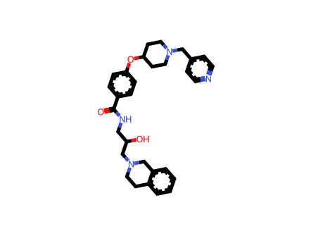 O=C(NCC(O)CN1CCc2ccccc2C1)c1ccc(OC2CCN(Cc3ccncc3)CC2)cc1